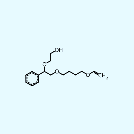 C=COCCCCOCC(OCCO)c1ccccc1